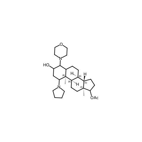 CC(=O)OC1CC[C@H]2[C@@H]3CCC4C(N5CCOCC5)C(O)CC(N5CCCC5)[C@]4(C)[C@@H]3CC[C@]12C